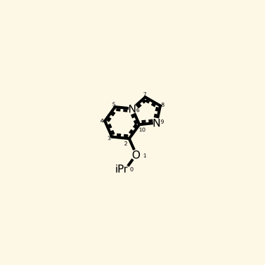 CC(C)Oc1cccn2ccnc12